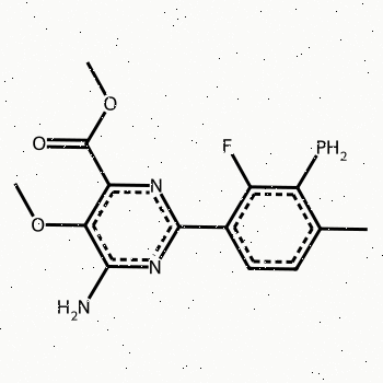 COC(=O)c1nc(-c2ccc(C)c(P)c2F)nc(N)c1OC